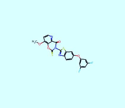 COc1ccnc2c(=O)n(-c3nc4ccc(Oc5cc(F)cc(F)c5)cc4s3)c(=S)oc12